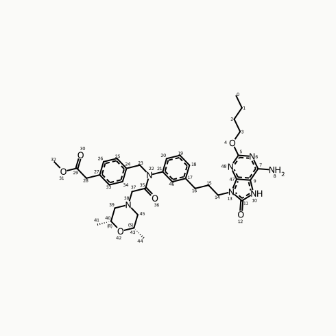 CCCCOc1nc(N)c2[nH]c(=O)n(CCCc3cccc(N(Cc4ccc(CC(=O)OC)cc4)C(=O)CN4C[C@@H](C)O[C@@H](C)C4)c3)c2n1